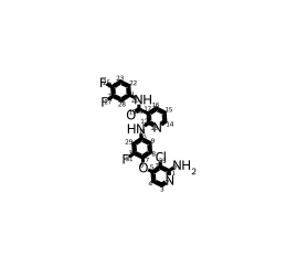 Nc1nccc(Oc2ccc(Nc3ncccc3C(=O)Nc3ccc(F)c(F)c3)cc2F)c1Cl